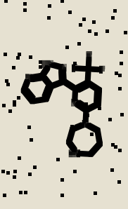 FC(F)(F)c1ccc(N2CCCNCC2)nc1-c1n[nH]c2ncccc12